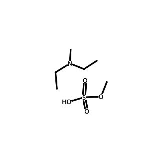 CCN(C)CC.COS(=O)(=O)O